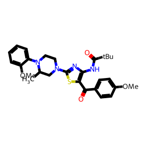 COc1ccc(C(=O)c2sc(N3CCN(c4ccccc4OC)C(C)C3)nc2NC(=O)C(C)(C)C)cc1